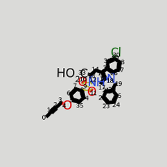 CC#CCOc1ccc(S(=O)(=O)NC(Cc2c(C)n(Cc3ccccc3)c3ccc(Cl)cc23)C(=O)O)cc1